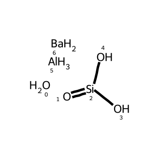 O.O=[Si](O)O.[AlH3].[BaH2]